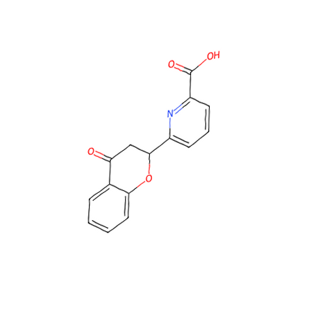 O=C(O)c1cccc(C2CC(=O)c3ccccc3O2)n1